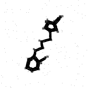 O=c1[nH]nc(CSCOc2ccccc2F)o1